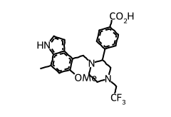 COc1cc(C)c2[nH]ccc2c1CN1CCN(CC(F)(F)F)CC1c1ccc(C(=O)O)cc1